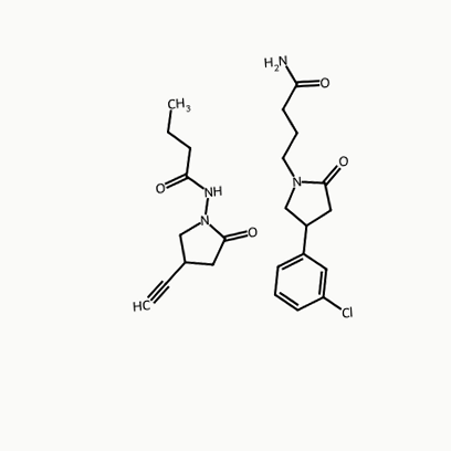 C#CC1CC(=O)N(NC(=O)CCC)C1.NC(=O)CCCN1CC(c2cccc(Cl)c2)CC1=O